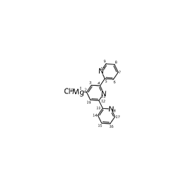 [Cl][Mg][c]1cc(-c2ccccn2)nc(-c2ccccn2)c1